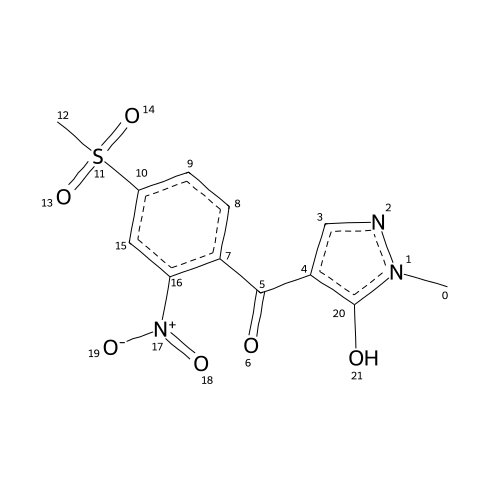 Cn1ncc(C(=O)c2ccc(S(C)(=O)=O)cc2[N+](=O)[O-])c1O